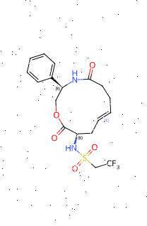 O=C1CC/C=C/C[C@@H](NS(=O)(=O)CC(F)(F)F)C(=O)OC[C@@H](c2ccccc2)N1